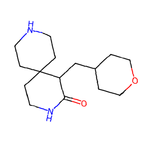 O=C1NCCC2(CCNCC2)C1CC1CCOCC1